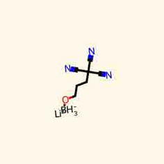 [BH3-]OCCCC(C#N)(C#N)C#N.[Li+]